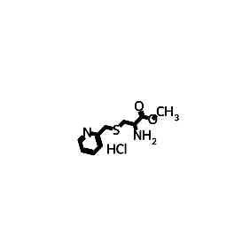 COC(=O)C(N)CSCc1ccccn1.Cl